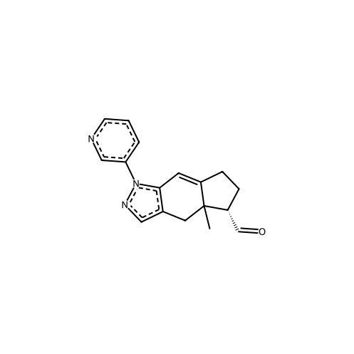 CC12Cc3cnn(-c4cccnc4)c3C=C1CC[C@@H]2C=O